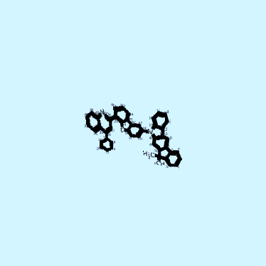 CC1(C)c2ccccc2-c2cc3c4ccccc4n(-c4ccc5oc6c(-c7cc(-c8ccccc8)c8ccccc8n7)cccc6c5c4)c3cc21